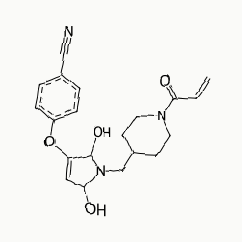 C=CC(=O)N1CCC(CN2C(O)C=C(Oc3ccc(C#N)cc3)C2O)CC1